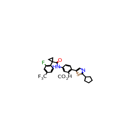 O=C(O)c1cc(NC(=O)C2(c3ccc(C(F)(F)F)cc3F)CC2)ccc1-c1cnc(C2CCCC2)s1